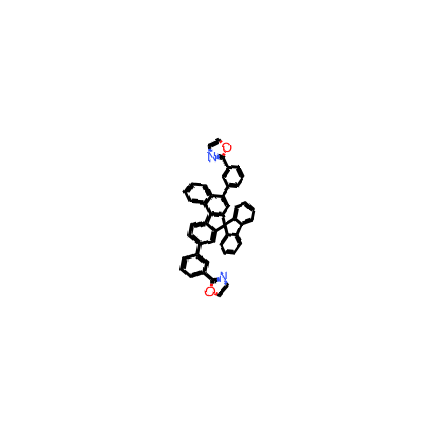 c1cc(-c2ccc3c(c2)C2(c4ccccc4-c4ccccc42)c2cc(-c4cccc(-c5ncco5)c4)c4ccccc4c2-3)cc(-c2ncco2)c1